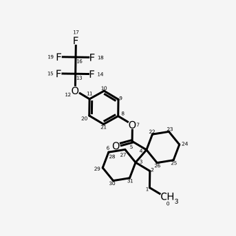 CCCC1(C2(C(=O)Oc3ccc(OC(F)(F)C(F)(F)F)cc3)CCCCC2)CCCCC1